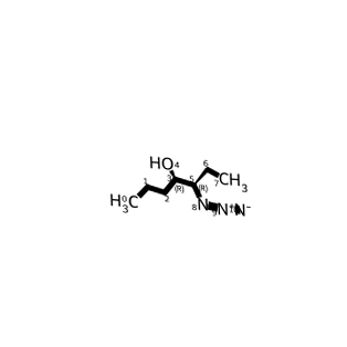 CCC[C@@H](O)[C@@H](CC)N=[N+]=[N-]